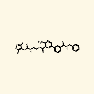 Cc1noc(C)c1NC(=O)NCCNC(=O)c1nc(-c2cccc(C(=O)NCc3ccccc3)c2)cnc1N